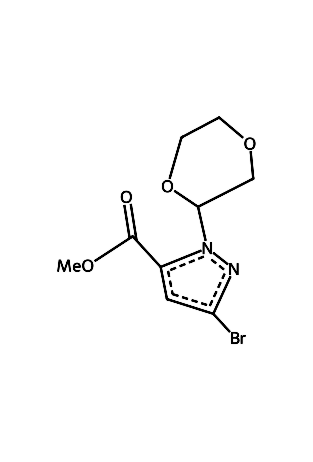 COC(=O)c1cc(Br)nn1C1COCCO1